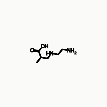 CC(CNCCN)C(=O)O